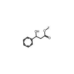 O=C(CC(O)c1ccccc1)OF